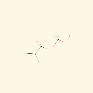 COC(=O)OC(=O)C(C)C